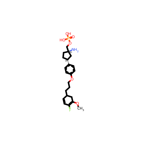 COC1=C(F)C=CC(CCCOc2ccc([C@@H]3CC[C@](N)(COP(=O)(O)O)C3)cc2)C1